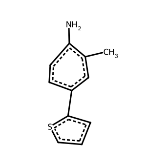 Cc1cc(-c2cccs2)ccc1N